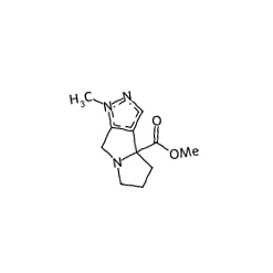 COC(=O)C12CCCN1Cc1c2cnn1C